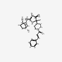 CC1(C2CCN(C(=O)/C=C/c3ccccc3)CC2)SC(N[C@H]2C[C@H]3CC[C@H]2C3)=NC1=O